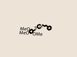 COc1cc(OC)c(OC)cc1CSC1CCN(C/C=C/c2ccccc2)CC1